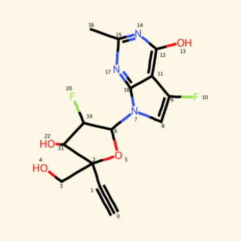 C#CC1(CO)OC(n2cc(F)c3c(O)nc(C)nc32)C(F)C1O